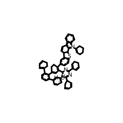 CN1C(C2C=CC=CC2)=NC(C2=CCCC=C2)=NC1C1=C(c2ccc3c(c2)C2C=Cc4c(n(C5=CCCCC5)c5ccccc45)C2S3)CCC(c2c(C3=CCCC=C3)cccc2C2=CC=CCC2)=C1